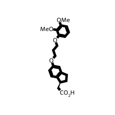 COc1cccc(OCCCOc2ccc3c(c2)CC[C@H]3CC(=O)O)c1OC